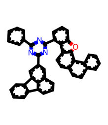 c1ccc(-c2nc(-c3cc4c5c(cccc5c3)-c3ccccc3-4)nc(-c3cccc4oc5c(ccc6ccc7ccccc7c65)c34)n2)cc1